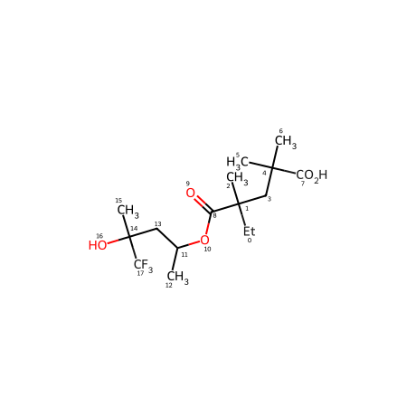 CCC(C)(CC(C)(C)C(=O)O)C(=O)OC(C)CC(C)(O)C(F)(F)F